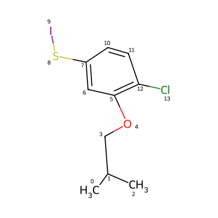 CC(C)COc1cc(SI)ccc1Cl